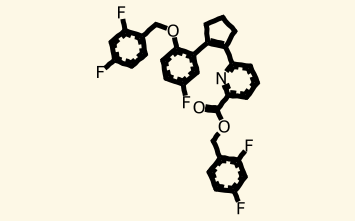 O=C(OCc1ccc(F)cc1F)c1cccc(C2=C(c3cc(F)ccc3OCc3ccc(F)cc3F)CCC2)n1